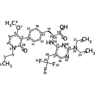 CCCn1ccc(OC)c(-c2ccc(C[C@H](Nc3nc(N(CC)CC)ncc3CC(F)(F)F)C(=O)O)cc2)c1=O